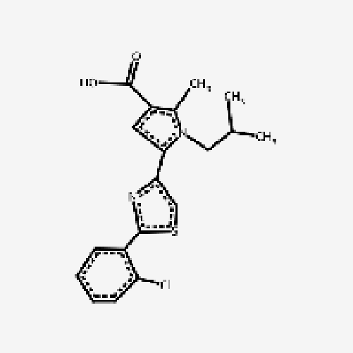 Cc1c(C(=O)O)cc(-c2csc(-c3ccccc3Cl)n2)n1CC(C)C